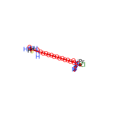 CC(C)CN1C[C@H](Cc2ccc(Cl)cc2)N(C2CCN(c3ccccn3)CC2)C[C@@H]1COC(=O)CCOCCOCCOCCOCCOCCOCCOCCOCCOCCOCCOCCOCCNC(=O)CCCC[C@@H]1SC[C@@H]2NC(=O)N[C@@H]21